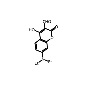 CCN(CC)c1ccc2c(O)c(C=O)c(=O)oc2c1